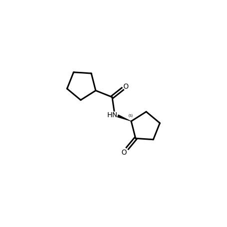 O=C(N[C@H]1CCCC1=O)C1CCCC1